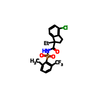 CCC1(C(=O)NS(=O)(=O)c2c(C)cccc2C(F)(F)F)CCc2c(Cl)cccc21